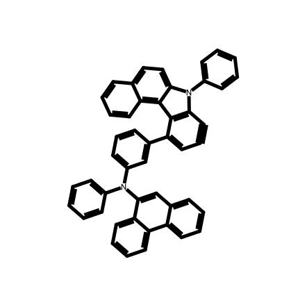 c1cc(-c2cccc(N(c3ccccc3)c3cc4ccccc4c4ccccc34)c2)c2c3c4ccccc4ccc3n(-c3ccccc3)c2c#1